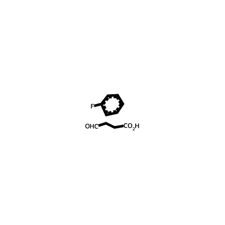 Fc1ccccc1.O=CCCC(=O)O